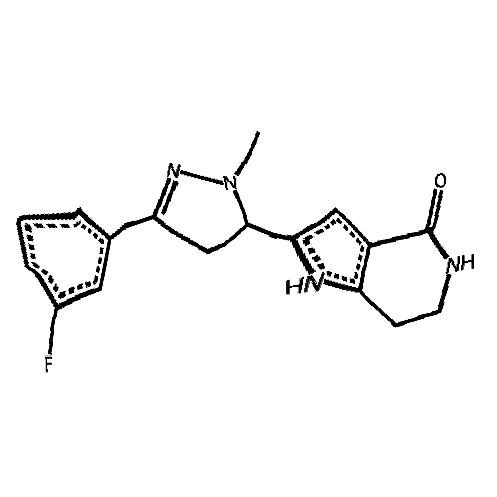 CN1N=C(c2cccc(F)c2)CC1c1cc2c([nH]1)CCNC2=O